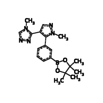 Cn1cnnc1-c1cnn(C)c1-c1cccc(B2OC(C)(C)C(C)(C)O2)c1